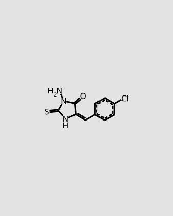 NN1C(=O)/C(=C\c2ccc(Cl)cc2)NC1=S